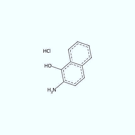 Cl.Nc1ccc2ccccc2c1O